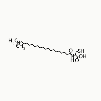 CN(C)CCCCCCCCCCCCCCCCCCC(=O)NC(CS)C(=O)O